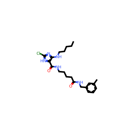 CCCCCNc1nc(Cl)[nH]c1C(=O)NCCCCC(=O)NCc1cccc(C)c1